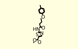 COC(=O)c1cnc(NC(=O)CCCOc2ccc(C)cc2)s1